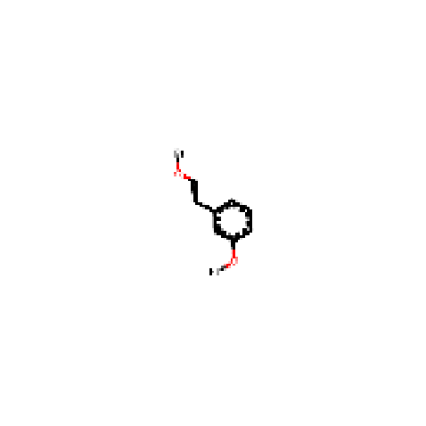 CCOC=Cc1cccc(OCC)c1